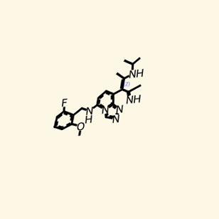 COc1cccc(F)c1CNc1ccc(/C(C(C)=N)=C(\C)NC(C)C)c2nncn12